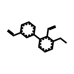 C=Cc1cccc(-c2cccc(CC)c2C=C)c1